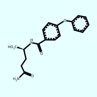 NC(=O)CC[C@H](NC(=O)c1ccc(Oc2ccccc2)cc1)C(=O)O